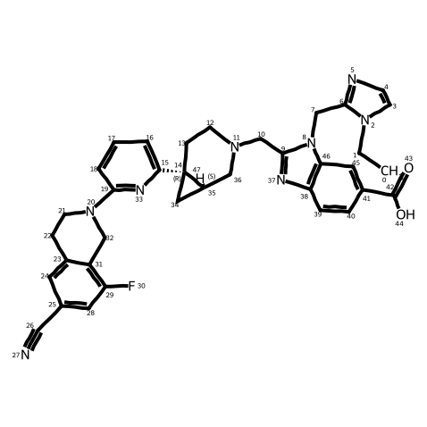 CCn1ccnc1Cn1c(CN2CC[C@]3(c4cccc(N5CCc6cc(C#N)cc(F)c6C5)n4)C[C@@H]3C2)nc2ccc(C(=O)O)cc21